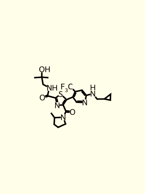 CC1CCCN1C(=O)c1nc(C(=O)NCC(C)(C)O)sc1-c1cnc(NCC2CC2)cc1C(F)(F)F